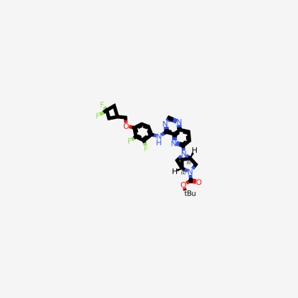 CC(C)(C)OC(=O)N1C[C@@H]2C[C@H]1CN2c1ccc2ncnc(Nc3ccc(OCC4CC(F)(F)C4)c(F)c3F)c2n1